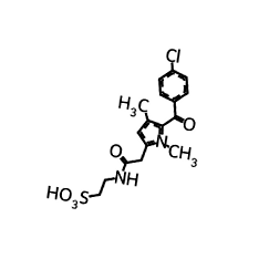 Cc1cc(CC(=O)NCCS(=O)(=O)O)n(C)c1C(=O)c1ccc(Cl)cc1